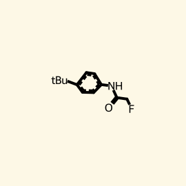 CC(C)(C)c1ccc(NC(=O)CF)cc1